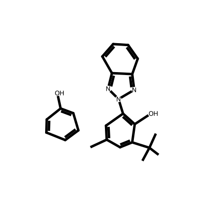 Cc1cc(-n2nc3ccccc3n2)c(O)c(C(C)(C)C)c1.Oc1ccccc1